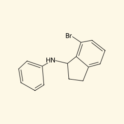 Brc1cccc2c1C(Nc1ccccc1)CC2